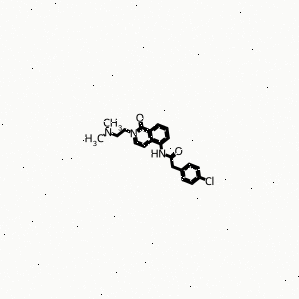 CN(C)CCn1ccc2c(NC(=O)Cc3ccc(Cl)cc3)cccc2c1=O